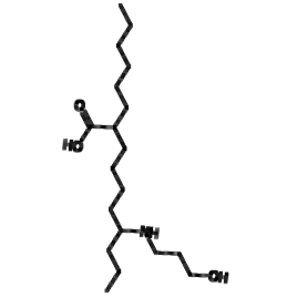 CCCCCCC(CCCCC(CCC)NCCCO)C(=O)O